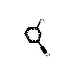 C#Cc1cccc(P)c1